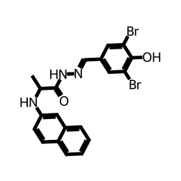 CC(Nc1ccc2ccccc2c1)C(=O)N/N=C/c1cc(Br)c(O)c(Br)c1